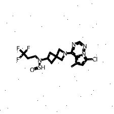 Cc1cc(Cl)n2ncnc(N3CC4(CC(N(CCC(F)(F)F)[SH]=O)C4)C3)c12